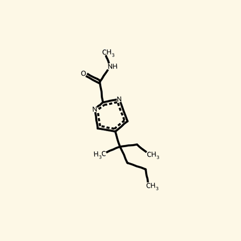 CCCC(C)(CC)c1cnc(C(=O)NC)nc1